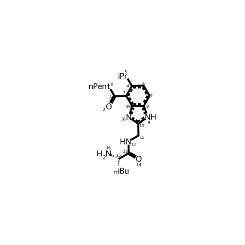 CCCCCC(=O)c1c(C(C)C)ccc2[nH]c(CNC(=O)[C@@H](N)[C@@H](C)CC)nc12